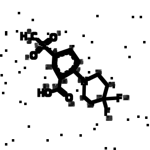 CS(=O)(=O)c1ccc(N2CCC(F)(F)CC2)c(C(=O)O)c1